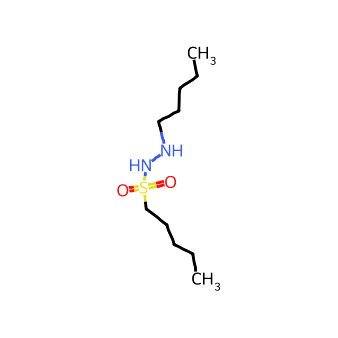 CCCCCNNS(=O)(=O)CCCCC